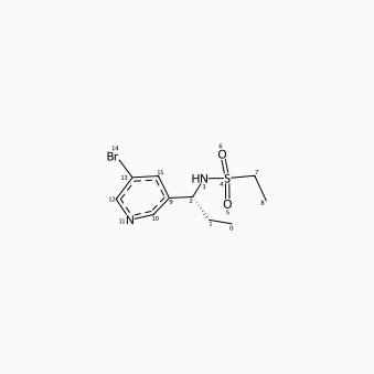 CC[C@@H](NS(=O)(=O)CC)c1cncc(Br)c1